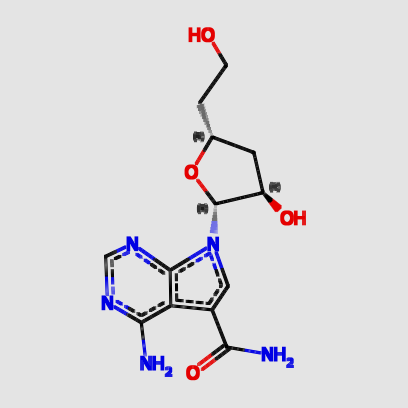 NC(=O)c1cn([C@@H]2O[C@H](CCO)C[C@H]2O)c2ncnc(N)c12